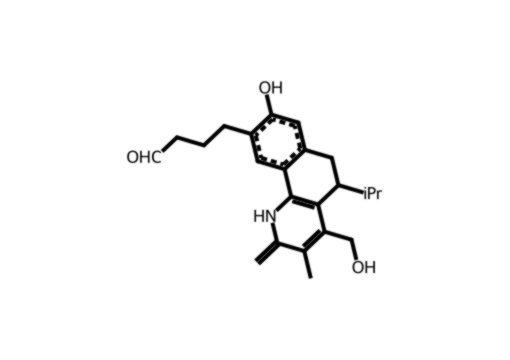 C=C1NC2=C(C(CO)=C1C)C(C(C)C)Cc1cc(O)c(CCCC=O)cc12